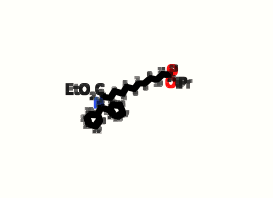 CCOC(=O)C(CCCCCCCCCCC(=O)OC(C)C)N=C(c1ccccc1)c1ccccc1